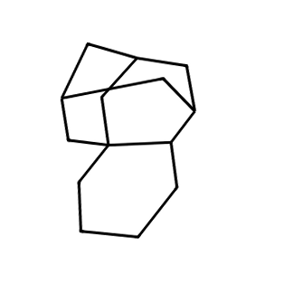 C1CCC23CC4CC(CC(C4)C2C1)C3